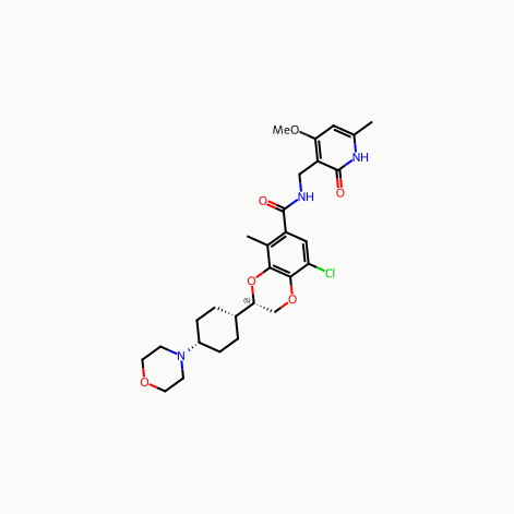 COc1cc(C)[nH]c(=O)c1CNC(=O)c1cc(Cl)c2c(c1C)O[C@@H]([C@H]1CC[C@@H](N3CCOCC3)CC1)CO2